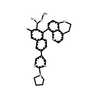 CC(=O)[C@@H](OC(C)(C)C)c1c(C)cc2cc(-c3cnc(N4CCCC4)nc3)ccc2c1-c1ccc2c3c(ccnc13)CCO2